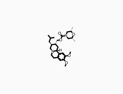 COc1cc2c(cc1OC)[C@H]1C[C@@H](COC(=O)N3C[C@@H](C)O[C@@H](C)C3)[C@H](CC(C)C)CN1CC2